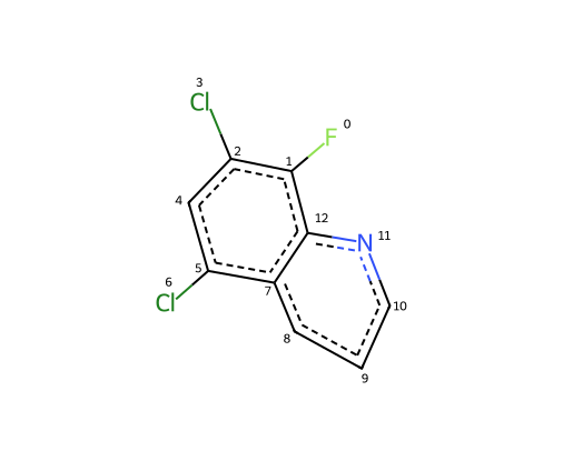 Fc1c(Cl)cc(Cl)c2cccnc12